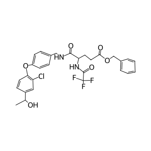 CC(O)c1ccc(Oc2ccc(CNC(=O)C(CCC(=O)OCc3ccccc3)NC(=O)C(F)(F)F)cc2)c(Cl)c1